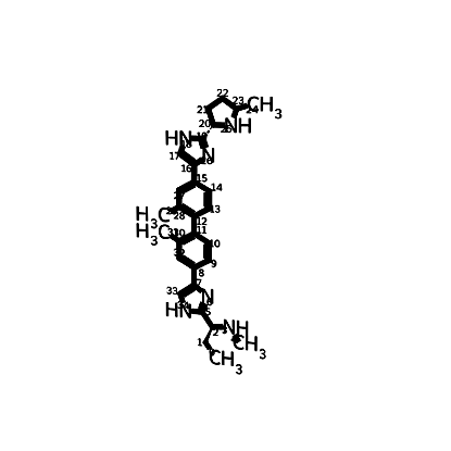 CC[C@H](NC)c1nc(-c2ccc(-c3ccc(-c4c[nH]c([C@@H]5CCC(C)N5)n4)cc3C)c(C)c2)c[nH]1